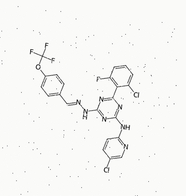 Fc1cccc(Cl)c1-c1nc(NN=Cc2ccc(OC(F)(F)F)cc2)nc(Nc2ccc(Cl)cn2)n1